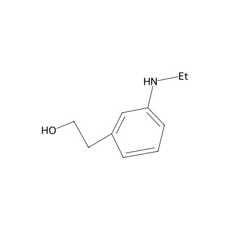 CCNc1cccc(CCO)c1